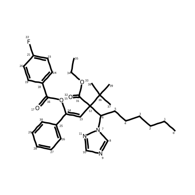 CCCCCCC(n1cncn1)C(C=C(OC(=O)c1ccc(F)cc1)c1ccccc1)(C(=O)OCC)C(C)(C)C